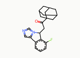 O=C(CC1c2c(F)cccc2-c2cncn21)C12CC3CC(CC(C3)C1)C2